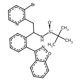 CC(C)(C)[S@+]([O-])NC(Cc1ncccc1Br)c1ccccc1-c1noc2ccccc12